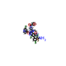 N#Cc1c(N)sc2c(F)ccc(-c3c(Cl)c4c5c(nc(OC[C@@]67CCCN6C[C@H](F)C7)nc5c3F)N(C3CCN(C(=O)[C@H]5CCOC5)C3)CCO4)c12